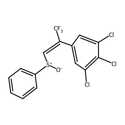 [O-][S+](/C=C(\c1cc(Cl)c(Cl)c(Cl)c1)C(F)(F)F)c1ccccc1